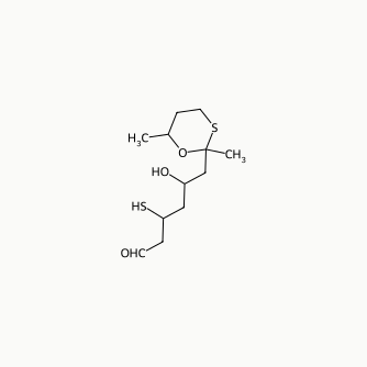 CC1CCSC(C)(CC(O)CC(S)CC=O)O1